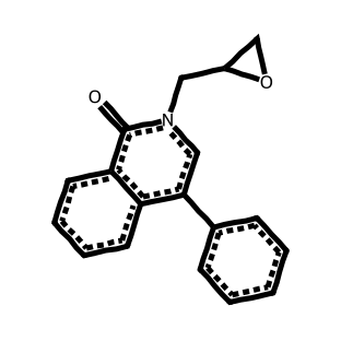 O=c1c2ccccc2c(-c2ccccc2)cn1CC1CO1